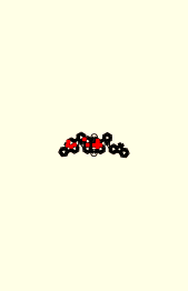 CC1(C)c2ccccc2-c2ccc(N(c3ccc4c(c3)C3(c5ccccc5Oc5ccccc53)c3cc(N(c5ccc6c(c5)C(C)(C)c5ccccc5-6)c5ccccc5-c5ccccc5)ccc3O4)c3ccccc3-c3ccccc3)cc21